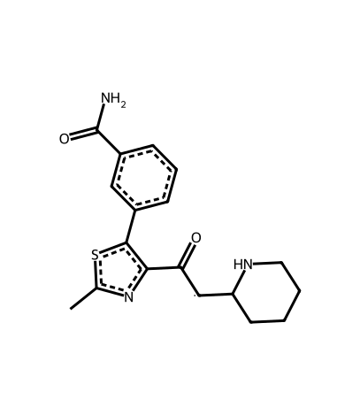 Cc1nc(C(=O)[CH]C2CCCCN2)c(-c2cccc(C(N)=O)c2)s1